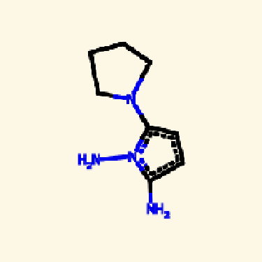 Nc1ccc(N2CCCC2)n1N